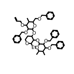 C=CCOC1C(C)C(COCc2ccccc2)OC(OC2CCOC(CC)C2OC2OC(C)C(C)C(OCc3ccccc3)C2OCc2ccccc2)C1OCc1ccccc1